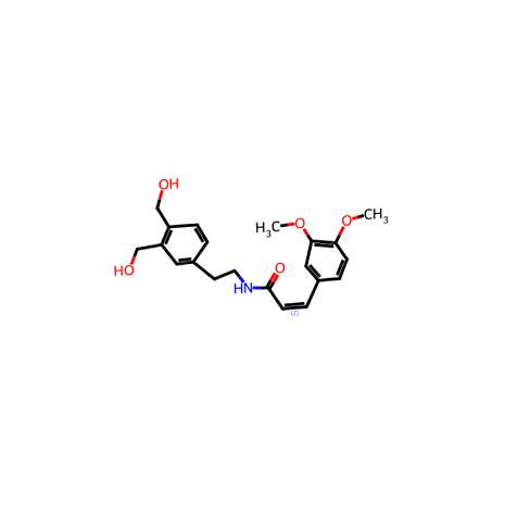 COc1ccc(/C=C\C(=O)NCCc2ccc(CO)c(CO)c2)cc1OC